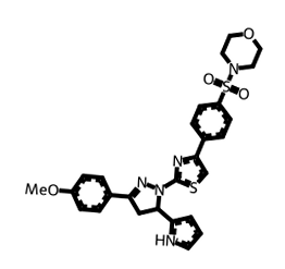 COc1ccc(C2=NN(c3nc(-c4ccc(S(=O)(=O)N5CCOCC5)cc4)cs3)C(c3ccc[nH]3)C2)cc1